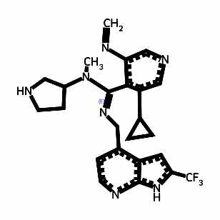 C=Nc1cncc(C2CC2)c1/C(=N\Cc1ccnc2[nH]c(C(F)(F)F)cc12)N(C)C1CCNC1